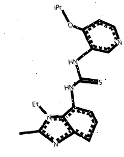 CCn1c(C)nc2cccc(NC(=S)Nc3cnccc3OC(C)C)c21